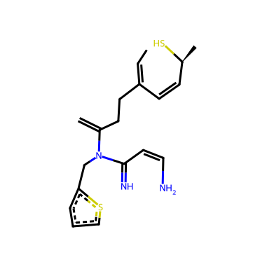 C=C(CCC(/C=C\[C@H](C)S)=C/C)N(Cc1cccs1)C(=N)/C=C\N